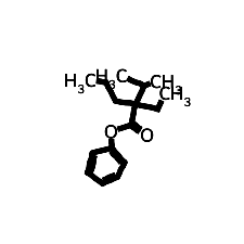 CCCC(CC)(C(=O)Oc1ccccc1)C(C)C